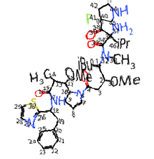 CCC(C)C(C(CC(=O)N1CCC[C@H]1C(OC)C(C)C(=O)NC(Cc1ccccc1)c1nccs1)OC)N(C)C(=O)C(N)(C(=O)[C@@]1(F)CCNC1)C(C)C